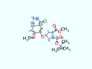 COC(=O)[C@@H]1C[C@@H](Oc2cc3c(Cl)ncnc3cc2OC)CN1C(=O)OC(C)(C)C